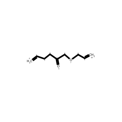 C=CCCC(=O)COCC=C